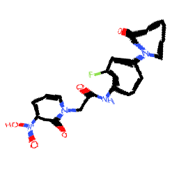 O=C(Cn1cccc([N+](=O)O)c1=O)Nc1ccc(-n2ccccc2=O)cc1F